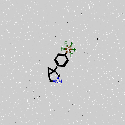 FS(F)(F)(F)(F)c1ccc(C23CNCC2C3)cc1